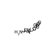 Cc1nn(C/C(F)=C/CN)c(C)c1Cc1ccc(S(=O)(=O)N2CCOCC2)cc1